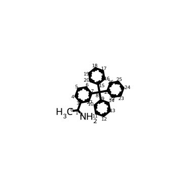 CC(N)c1cccc(C(c2ccccc2)(c2ccccc2)c2ccccc2)c1